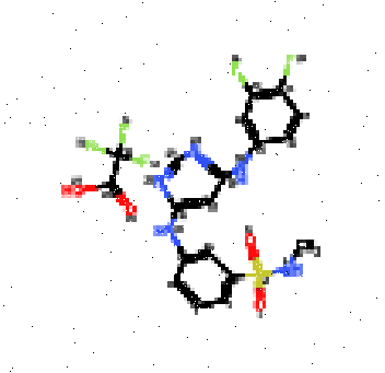 CNS(=O)(=O)c1cccc(Nc2cc(Nc3ccc(F)c(F)c3)ncn2)c1.O=C(O)C(F)(F)F